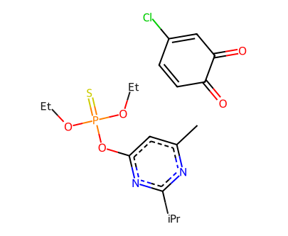 CCOP(=S)(OCC)Oc1cc(C)nc(C(C)C)n1.O=C1C=CC(Cl)=CC1=O